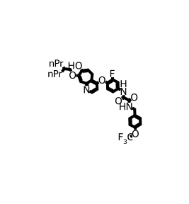 CCCC(CCC)COC1=Cc2nccc(Oc3ccc(NC(=O)C(=O)NCc4ccc(OC(F)(F)F)cc4)cc3F)c2CC=C1O